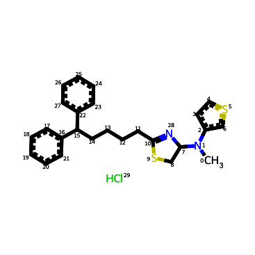 CN(c1ccsc1)C1CSC(CCCCC(c2ccccc2)c2ccccc2)=N1.Cl